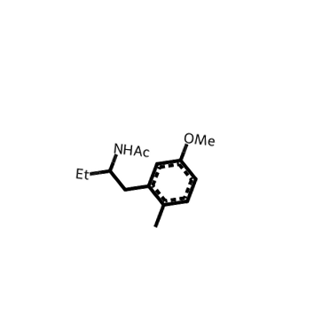 CCC(Cc1cc(OC)ccc1C)NC(C)=O